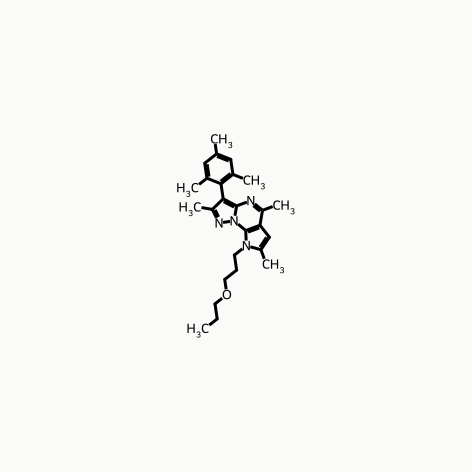 CCCOCCCn1c(C)cc2c(C)nc3c(-c4c(C)cc(C)cc4C)c(C)nn3c21